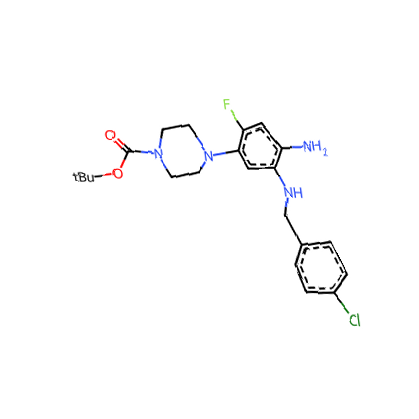 CC(C)(C)OC(=O)N1CCN(c2cc(NCc3ccc(Cl)cc3)c(N)cc2F)CC1